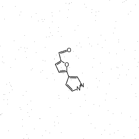 O=Cc1ccc(-c2ccnnc2)o1